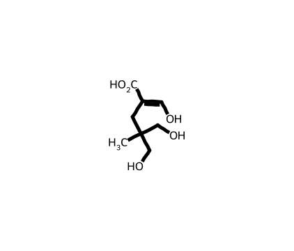 CC(CO)(CO)CC(=CO)C(=O)O